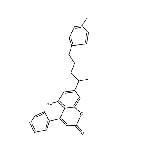 CC(CCCc1ccc(F)cc1)c1cc(O)c2c(-c3ccncc3)cc(=O)oc2c1